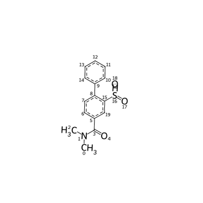 CN(C)C(=O)c1ccc(-c2ccccc2)c([SH](=O)=O)c1